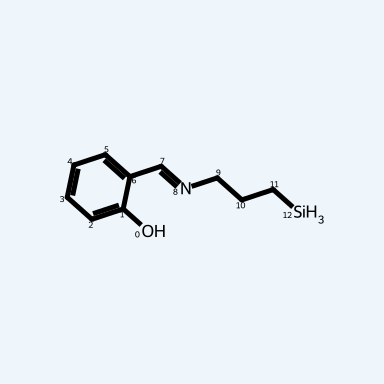 Oc1ccccc1C=NCCC[SiH3]